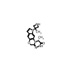 C[C@@H]1C(=O)NN=C2COc3cc4ccn(C5(C)CNC5)c4cc3N21